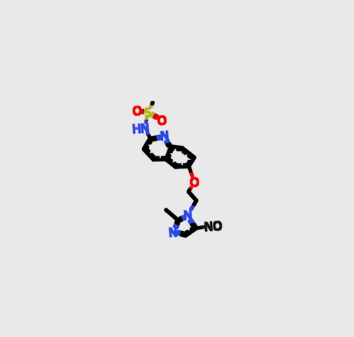 Cc1ncc(N=O)n1CCOc1ccc2nc(NS(C)(=O)=O)ccc2c1